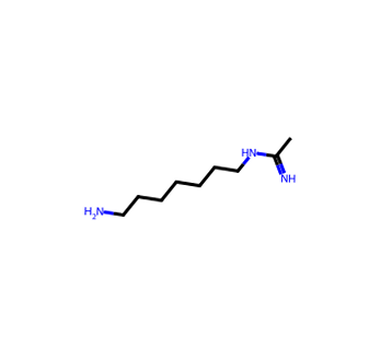 CC(=N)NCCCCCCCN